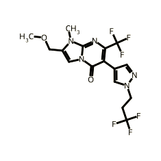 COCc1cn2c(=O)c(-c3cnn(CCC(F)(F)F)c3)c(C(F)(F)F)nc2n1C